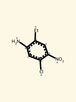 CCc1cc([N+](=O)[O-])c(Cl)cc1N